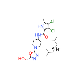 CC(C)[CH2][Al+][CH2]C(C)C.Cc1[nH]c(C(=O)NC2CCN(c3nnc(CO)o3)CC2)c(Cl)c1Cl.[H-]